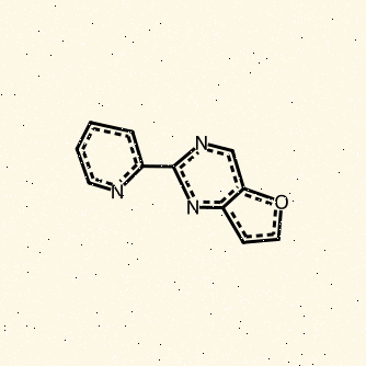 c1ccc(-c2ncc3occc3n2)nc1